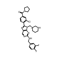 O=C(c1ccc(-c2nc3cnc(NCc4ccc(F)c(F)c4)nc3n2C[C@@H]2CCCNC2)c(Cl)c1)N1CCCC1